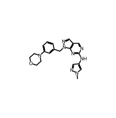 Cn1cc(Nc2ncc3cnn(Cc4cccc(N5CCOCC5)c4)c3n2)cn1